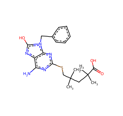 CC(C)(CSc1nc(N)c2nc(O)n(Cc3ccccc3)c2n1)CC(C)(C)C(=O)O